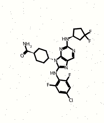 NC(=O)[C@H]1CC[C@H](n2c(Nc3c(F)cc(Cl)cc3F)nc3cnc(N[C@H]4CCC(F)(F)C4)nc32)CC1